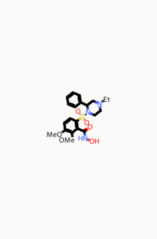 CCN1CCN(S(=O)(=O)c2ccc(OC)c(OC)c2C(=O)NO)C(c2ccccc2)C1